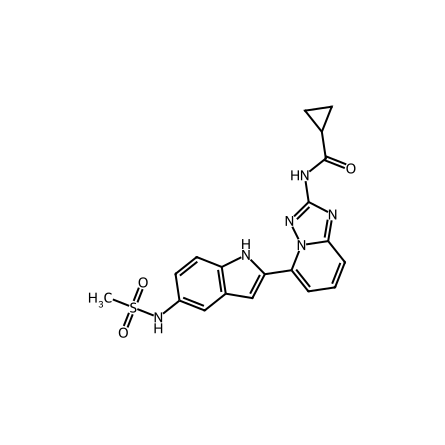 CS(=O)(=O)Nc1ccc2[nH]c(-c3cccc4nc(NC(=O)C5CC5)nn34)cc2c1